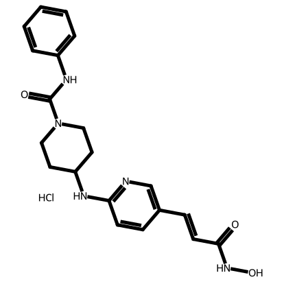 Cl.O=C(C=Cc1ccc(NC2CCN(C(=O)Nc3ccccc3)CC2)nc1)NO